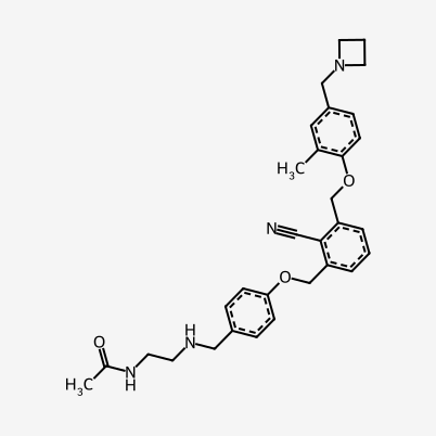 CC(=O)NCCNCc1ccc(OCc2cccc(COc3ccc(CN4CCC4)cc3C)c2C#N)cc1